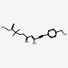 C=C(NO)C(C)(C)CCC(=N)/C=C(\O)C#Cc1ccc(CO)cc1